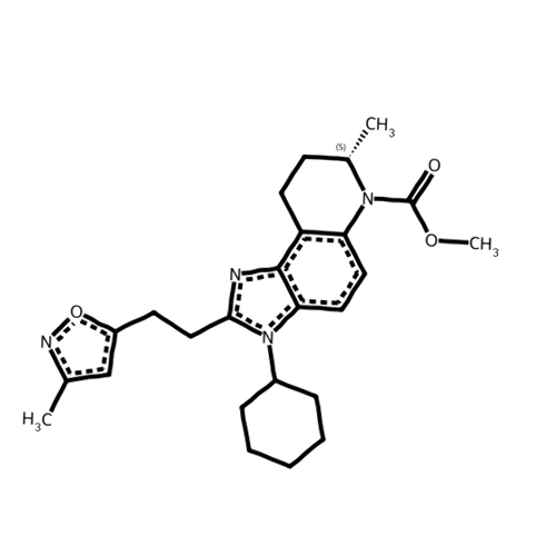 COC(=O)N1c2ccc3c(nc(CCc4cc(C)no4)n3C3CCCCC3)c2CC[C@@H]1C